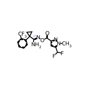 Cn1nc(C(=O)O/N=C(\N)C2(c3ccccc3C(F)(F)F)CC2)cc1C(F)F